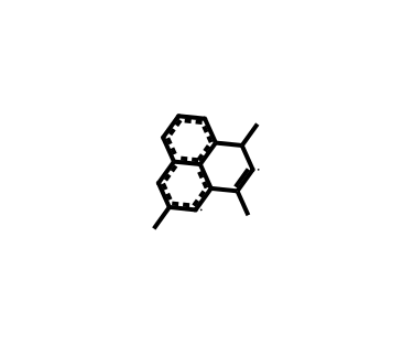 CC1=[C]C(C)c2cccc3cc(C)[c]c1c23